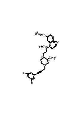 COc1ccc2nccc([C@H](O)CC[C@@H]3CCN(CC#Cc4cc(F)cc(F)c4)C[C@@H]3C(=O)O)c2c1